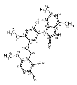 COc1cc(Cl)c(-n2c(=O)[nH]c3c(C)nc(C)nc32)cc1OCc1c(OC)ccc(F)c1F